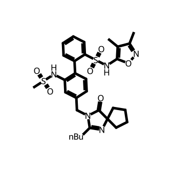 CCCCC1=NC2(CCCC2)C(=O)N1Cc1ccc(-c2ccccc2S(=O)(=O)Nc2onc(C)c2C)c(NS(C)(=O)=O)c1